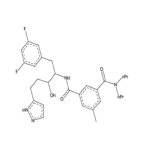 CCCN(CCC)C(=O)c1cc(C)cc(C(=O)NC(Cc2cc(F)cc(F)c2)C(O)CCc2ccn[nH]2)c1